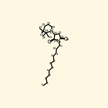 CCCCCCCCCCCCN1C(=O)CC(N2CCCC(C)(C)C2(C)C)C1=O